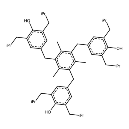 Cc1c(Cc2cc(CC(C)C)c(O)c(CC(C)C)c2)c(C)c(Cc2cc(CC(C)C)c(O)c(CC(C)C)c2)c(C)c1Cc1cc(CC(C)C)c(O)c(CC(C)C)c1